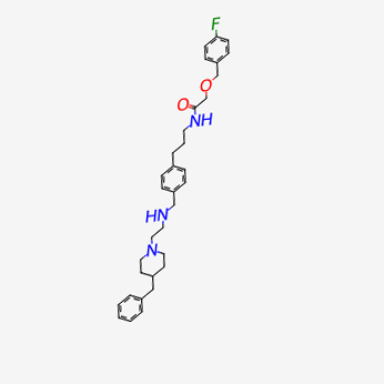 O=C(COCc1ccc(F)cc1)NCCCc1ccc(CNCCN2CCC(Cc3ccccc3)CC2)cc1